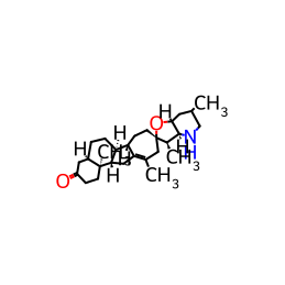 CC1=C2C[C@H]3[C@@H](CC[C@@H]4CC(=O)CC[C@@]43C)[C@@H]2CC[C@@]2(C1)O[C@@H]1CC(C)CN[C@H]1[C@H]2C